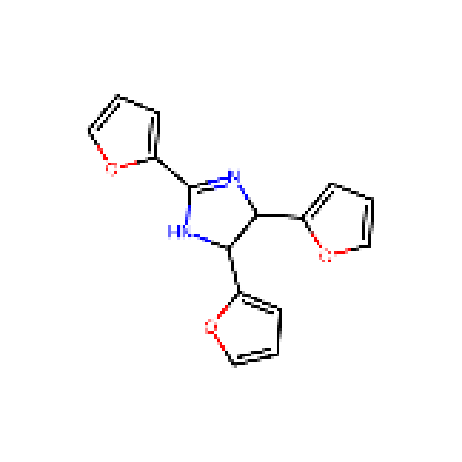 c1coc(C2=NC(c3ccco3)C(c3ccco3)N2)c1